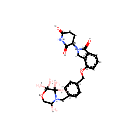 BC1COC(B)(B)C(B)(B)N1Cc1ccc(COc2cccc3c2CN(C2CCC(=O)NC2=O)C3=O)cc1